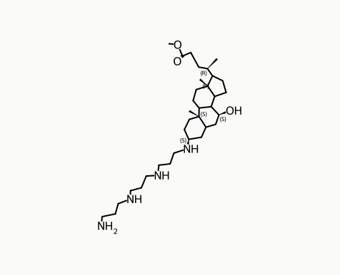 COC(=O)CC[C@@H](C)C1CCC2C3C(CC[C@@]21C)[C@@]1(C)CC[C@H](NCCCNCCCNCCCN)CC1C[C@@H]3O